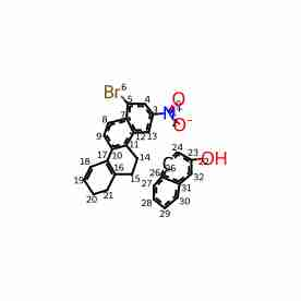 O=[N+]([O-])c1cc(Br)c2ccc3c(c2c1)CCC1=C3C=CCC1.Oc1ccc2ccccc2c1